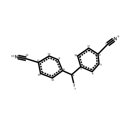 N#Cc1ccc(C(I)c2ccc(C#N)cc2)cc1